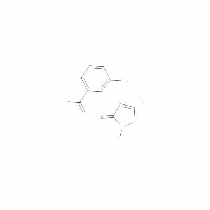 Cn1sccc1=O.O=C(O)c1cccc(O)c1.[NaH]